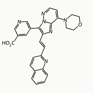 O=C(O)c1cncc(-c2c(/C=C/c3ccc4ccccc4n3)nc3c(N4CCOCC4)ccnn23)c1